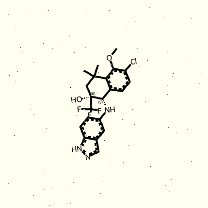 COc1c(Cl)ccc2c1C(C)(C)C[C@](O)(C(F)(F)F)[C@H]2Nc1ccc2[nH]ncc2c1